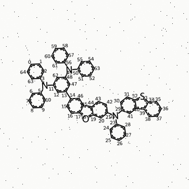 c1ccc(N(c2ccccc2)c2cc(-c3ccc4oc5cc(N(c6ccccc6)c6ccc7sc8ccccc8c7c6)ccc5c4c3)cc(N(c3ccccc3)c3ccccc3)c2)cc1